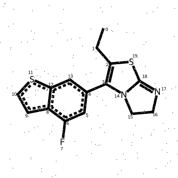 CCC1=C(c2cc(F)c3ccsc3c2)N2CCN=C2S1